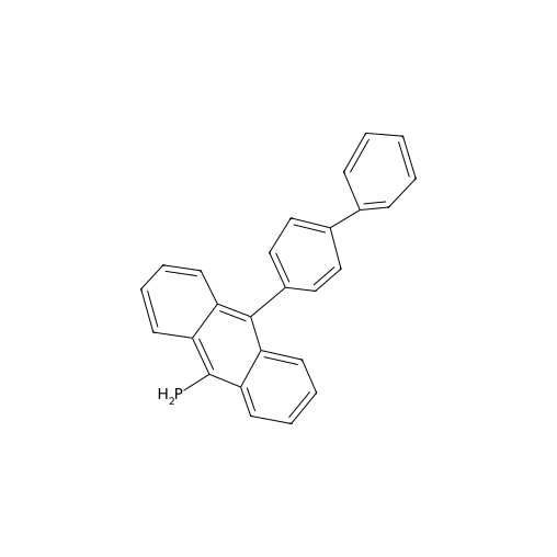 Pc1c2ccccc2c(-c2ccc(-c3ccccc3)cc2)c2ccccc12